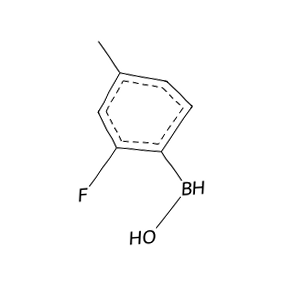 Cc1ccc(BO)c(F)c1